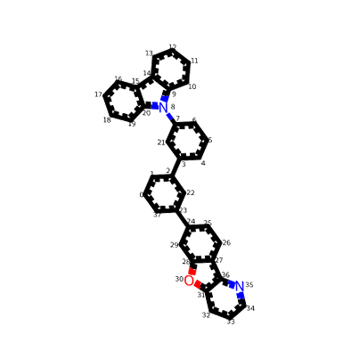 c1cc(-c2cccc(-n3c4ccccc4c4ccccc43)c2)cc(-c2ccc3c(c2)oc2cccnc23)c1